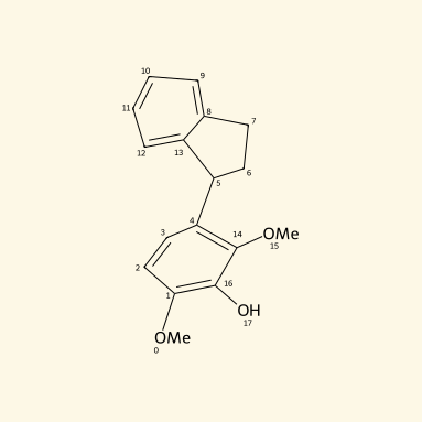 COc1ccc(C2CCc3ccccc32)c(OC)c1O